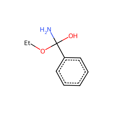 CCOC(N)(O)c1ccccc1